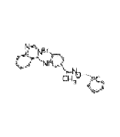 CC(=NOCc1ccccc1)c1ccc(Br)c(Nc2ncnc3ccccc23)c1